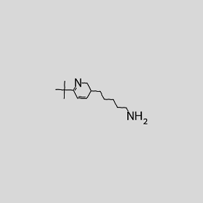 CC(C)(C)C1=NCC(CCCCCN)C=C1